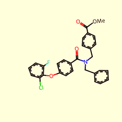 COC(=O)c1ccc(CN(Cc2ccccc2)C(=O)c2ccc(Oc3c(F)cccc3Cl)cc2)cc1